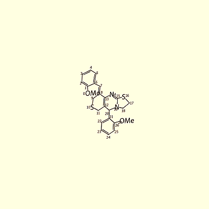 COc1ccccc1C=C1CSCC2=C1N=C1SCCN1C2c1ccccc1OC